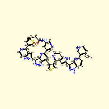 Cc1ccncc1-c1ccc2[nH]nc(-c3cc4c(-c5cscc5-c5cc(-c6cncc(NC(=O)CC(C)C)c6)nc6c(-c7cc8c(-c9ccsc9)nccc8[nH]7)n[nH]c56)nccc4[nH]3)c2n1